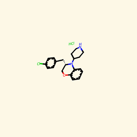 Cl.Clc1ccc(C[C@H]2COc3ccccc3N2C2CCNCC2)cc1